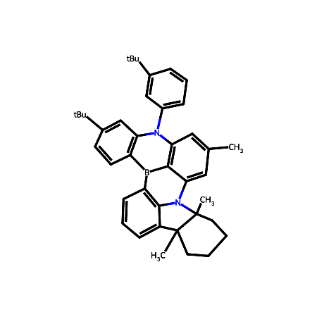 Cc1cc2c3c(c1)N1c4c(cccc4C4(C)CCCCC14C)B3c1ccc(C(C)(C)C)cc1N2c1cccc(C(C)(C)C)c1